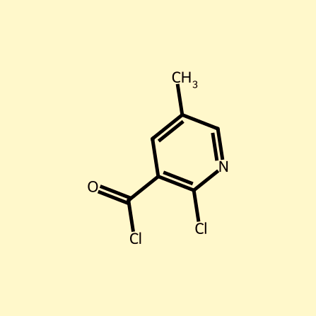 Cc1cnc(Cl)c(C(=O)Cl)c1